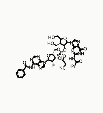 CC(C)C(=O)Nc1nc2c(ncn2[C@@H]2OC(CO)[C@H](CO)[C@@H]2OP(=S)(OCCC#N)OC[C@H]2OC(n3cnc4c(NC(=O)c5ccccc5)ncnc43)[C@@H](F)[C@H]2O)c(=O)[nH]1